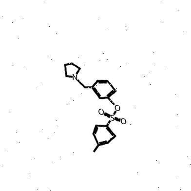 Cc1ccc(S(=O)(=O)Oc2cccc(CN3CCCC3)c2)cc1